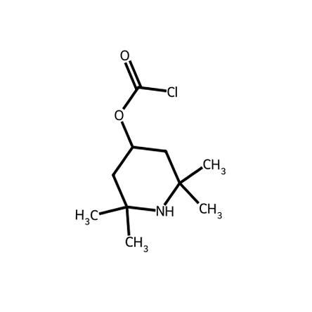 CC1(C)CC(OC(=O)Cl)CC(C)(C)N1